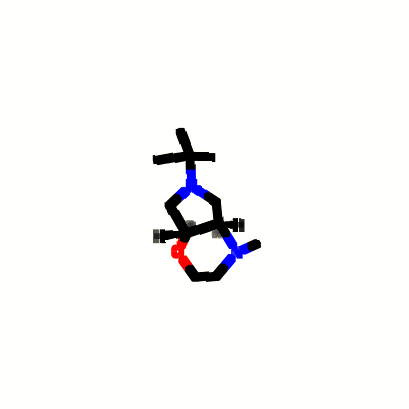 CN1CCO[C@@H]2CN(C(C)(C)C)C[C@H]21